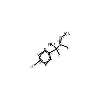 C/S(=N\C#N)C(C)(C#N)c1ccc(F)cc1